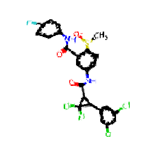 C[S+]([O-])c1ccc(NC(=O)C2C(c3cc(Cl)cc(Cl)c3)C2(Cl)Cl)cc1C(=O)Nc1ccc(F)cc1